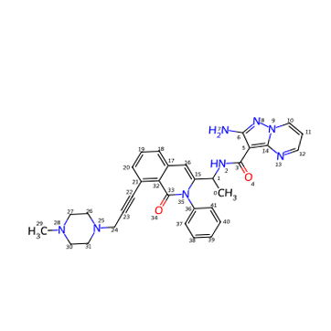 CC(NC(=O)c1c(N)nn2cccnc12)c1cc2cccc(C#CCN3CCN(C)CC3)c2c(=O)n1-c1ccccc1